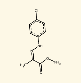 CC(=NNc1ccc(Cl)cc1)C(=O)ON